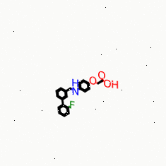 O=C(O)COc1ccc(NCc2cccc(-c3ccccc3F)c2)cc1